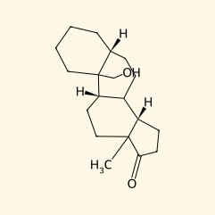 CC12CC[C@H]3C(CC[C@H]4CCCCC43CO)[C@@H]1CCC2=O